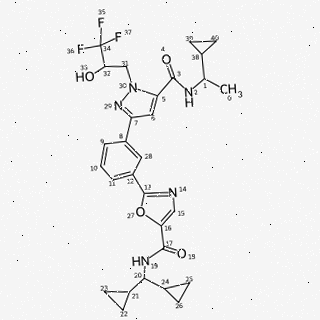 CC(NC(=O)c1cc(-c2cccc(-c3ncc(C(=O)NC(C4CC4)C4CC4)o3)c2)nn1CC(O)C(F)(F)F)C1CC1